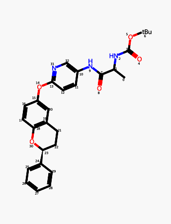 CC(NC(=O)OC(C)(C)C)C(=O)Nc1ccc(Oc2ccc3c(c2)CC[C@@H](c2ccccc2)O3)nc1